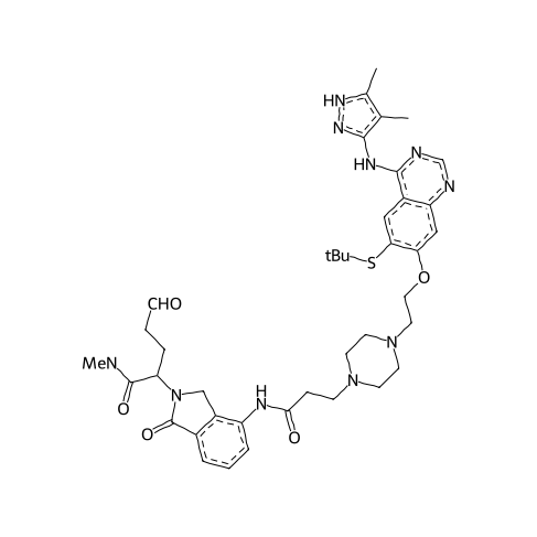 CNC(=O)C(CCC=O)N1Cc2c(NC(=O)CCN3CCN(CCOc4cc5ncnc(Nc6n[nH]c(C)c6C)c5cc4SC(C)(C)C)CC3)cccc2C1=O